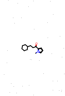 Cn1cccc1C(=O)CCC1CCCCC1